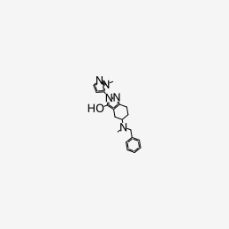 CN(Cc1ccccc1)C1CCc2nn(-c3ccnn3C)c(O)c2C1